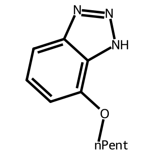 CCCCCOc1cccc2nn[nH]c12